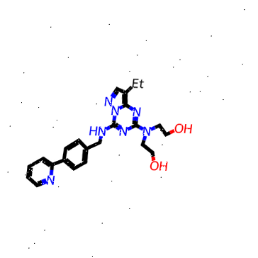 CCc1cnn2c(NCc3ccc(-c4ccccn4)cc3)nc(N(CCO)CCO)nc12